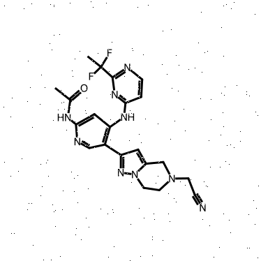 CC(=O)Nc1cc(Nc2ccnc(C(C)(F)F)n2)c(-c2cc3n(n2)CCN(CC#N)C3)cn1